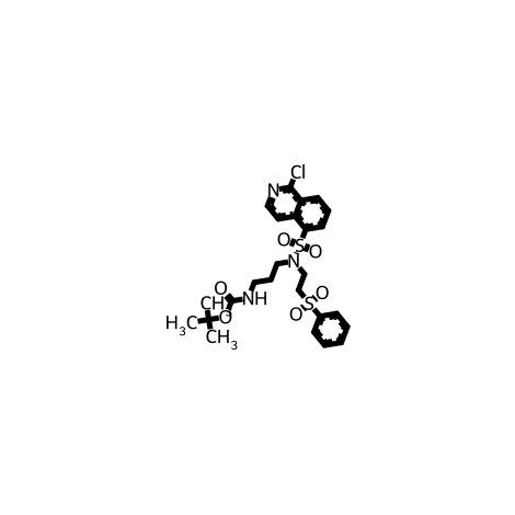 CC(C)(C)OC(=O)NCCCN(CCS(=O)(=O)c1ccccc1)S(=O)(=O)c1cccc2c(Cl)nccc12